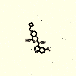 COc1ccc2nccc([C@@H](O)CC[C@@H]3CCN(CC4CCC4)C[C@@H]3C(=O)O)c2c1